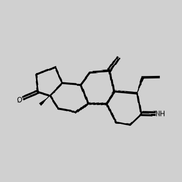 C=C1CC2C(CC[C@]3(C)C(=O)CCC23)C2CCC(=N)[C@H](CC)C12